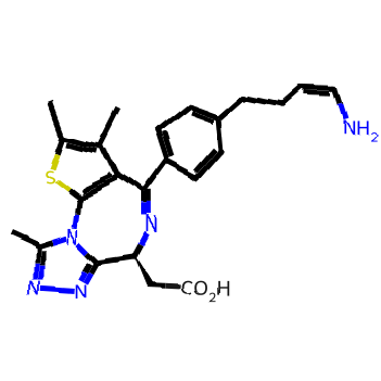 Cc1sc2c(c1C)C(c1ccc(CC/C=C\N)cc1)=N[C@@H](CC(=O)O)c1nnc(C)n1-2